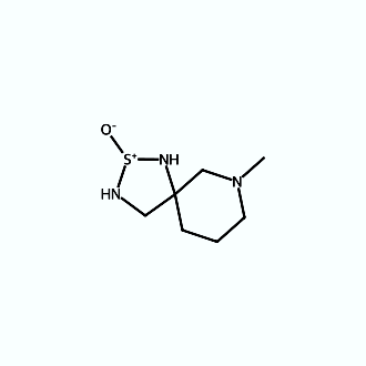 CN1CCCC2(CN[S+]([O-])N2)C1